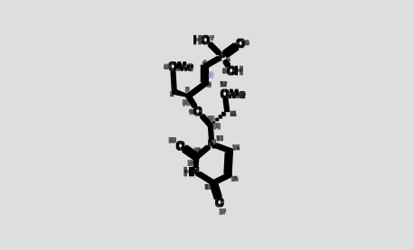 COC[C@@H](/C=C/P(=O)(O)O)O[C@H](COC)n1ccc(=O)[nH]c1=O